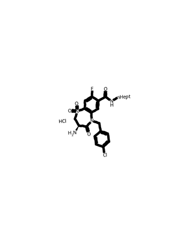 CCCCCCCNC(=O)c1cc2c(cc1F)S(=O)(=O)C[C@H](N)C(=O)N2Cc1ccc(Cl)cc1.Cl